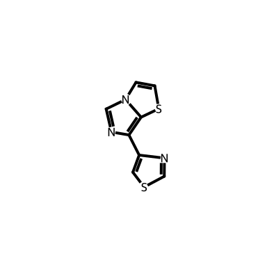 c1nc(-c2ncn3ccsc23)cs1